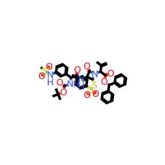 C=C(C)C(C(=O)OC(c1ccccc1)c1ccccc1)N1C(=O)C(NC(=O)C(NC(=O)OC(C)(C)C)c2cccc(NS(C)(=O)=O)c2)C1SS(=O)(=O)c1ccc(C)cc1